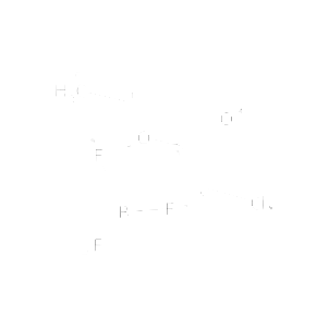 CCOC(=O)CCl.FB(F)F